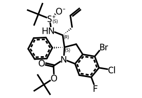 C=CC[C@@H](N[S@+]([O-])C(C)(C)C)[C@@]1(c2ccccc2)Cc2c(cc(F)c(Cl)c2Br)N1C(=O)OC(C)(C)C